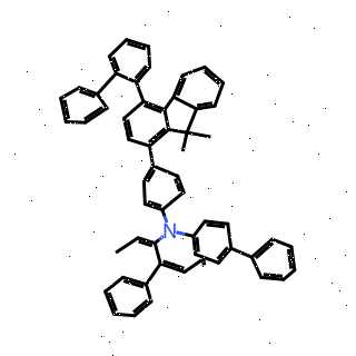 C=C/C=C(\C(=C/C)N(c1ccc(-c2ccccc2)cc1)c1ccc(-c2ccc(-c3ccccc3-c3ccccc3)c3c2C(C)(C)c2ccccc2-3)cc1)c1ccccc1